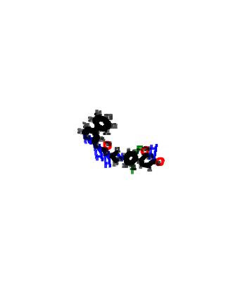 O=C1CC[C@H](c2c(F)cc(N3CC(NC(=O)Nc4cc(-c5ccccc5)ccn4)C3)cc2F)C(=O)N1